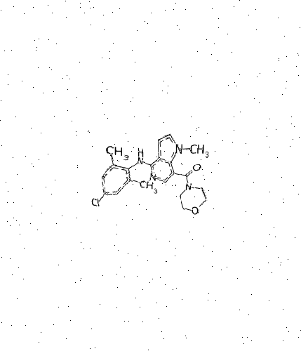 Cc1cc(Cl)cc(C)c1Nc1ncc(C(=O)N2CCOCC2)c2c1ccn2C